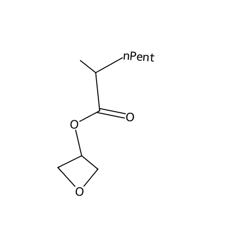 CCCCCC(C)C(=O)OC1COC1